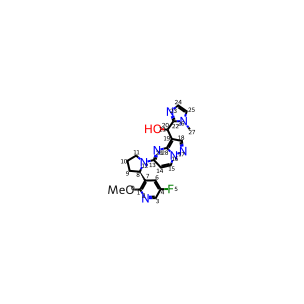 COc1ncc(F)cc1[C@H]1CCCN1c1ccn2ncc(C(O)c3nccn3C)c2n1